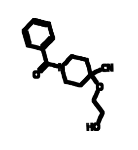 N#CC1(OCCO)CCN(C(=O)c2ccccc2)CC1